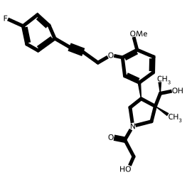 COc1ccc([C@@H]2CN(C(=O)CO)C[C@@]2(C)[C@@H](C)O)cc1OCC#Cc1ccc(F)cc1